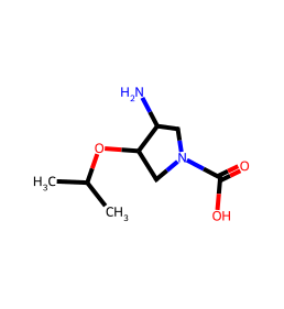 CC(C)OC1CN(C(=O)O)CC1N